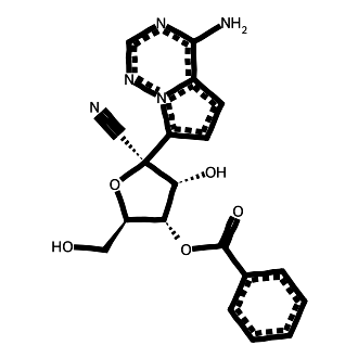 N#C[C@@]1(c2ccc3c(N)ncnn23)O[C@H](CO)[C@@H](OC(=O)c2ccccc2)[C@H]1O